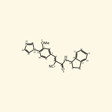 COc1cc(C=C(C#N)C(=O)NC2CCc3ccccc32)ccc1-n1ccnc1